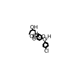 O=C(O)CN1CC(O)CCOP1(=O)c1ccc(Oc2ccc(Cl)cc2)cc1